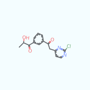 CC(O)C(=O)c1cccc(C(=O)Cc2ccnc(Cl)n2)c1